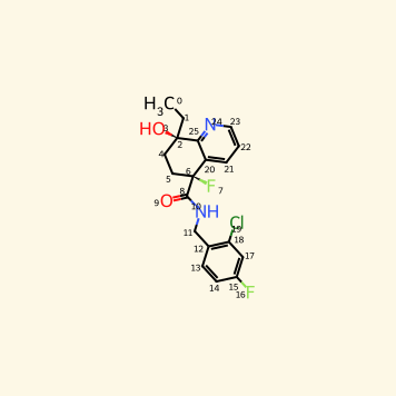 CC[C@@]1(O)CC[C@@](F)(C(=O)NCc2ccc(F)cc2Cl)c2cccnc21